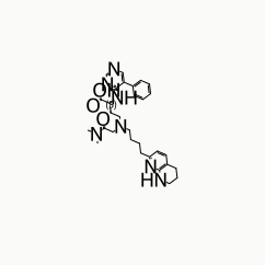 CN(C)C(=O)CN(CCCCc1ccc2c(n1)NCCC2)CC[C@H](Nc1ncncc1-c1ccccc1)C(=O)O